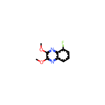 COc1nc2cccc(F)c2nc1OC